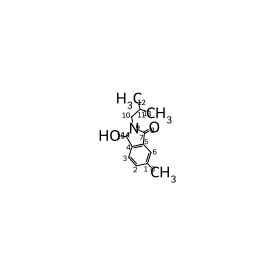 Cc1ccc2c(c1)C(=O)N(CC(C)C)C2O